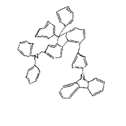 C1=CC2c3ccccc3N(c3ccc(-c4cccc5c4-c4ccc(N(c6ccccc6)c6ccccc6)cc4C5(c4ccccc4)c4ccccc4)cc3)C2C=C1